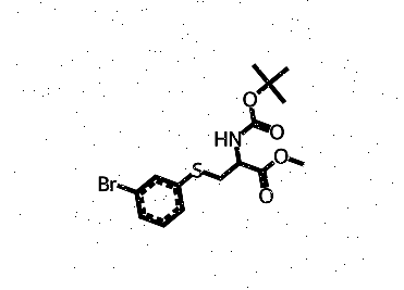 COC(=O)C(CSc1cccc(Br)c1)NC(=O)OC(C)(C)C